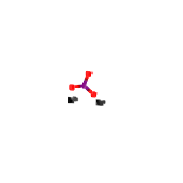 [Na+].[Ni+2].[O-]P([O-])[O-]